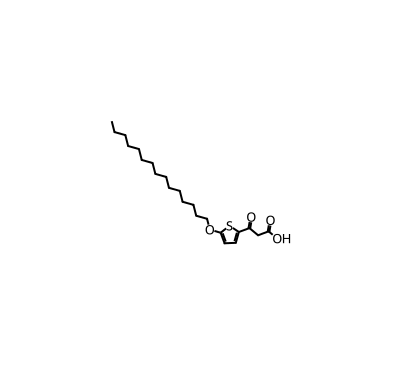 CCCCCCCCCCCCCCCOc1ccc(C(=O)CC(=O)O)s1